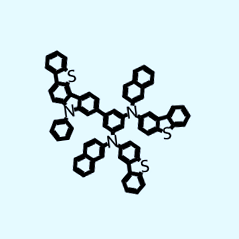 c1ccc(-n2c3cc(-c4cc(N(c5ccc6ccccc6c5)c5ccc6sc7ccccc7c6c5)cc(N(c5ccc6ccccc6c5)c5ccc6sc7ccccc7c6c5)c4)ccc3c3c4sc5ccccc5c4ccc32)cc1